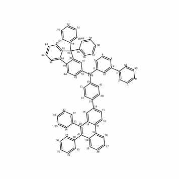 c1ccc(-c2cccc(N(c3ccc(-c4ccc5c(c4)c(-c4ccccc4)c(-c4ccccc4)c4ccccc45)cc3)c3ccc4c(c3)C(c3ccccc3)(c3ccccc3)c3ccccc3-4)c2)cc1